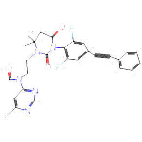 Cc1cc(N(C=O)CCN2C(=O)N(c3c(F)cc(C#Cc4ccccc4)cc3F)C(=O)CC2(C)C)ncn1